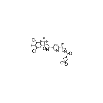 O=C(C1CS(=O)(=O)C1)N1CC(F)(c2ccc(C3=NOC(c4cc(Cl)c(F)c(Cl)c4)(C(F)(F)F)C3)cn2)C1